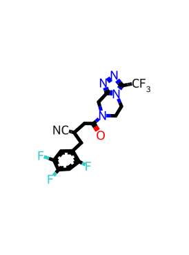 N#CC(CC(=O)N1CCn2c(nnc2C(F)(F)F)C1)Cc1cc(F)c(F)cc1F